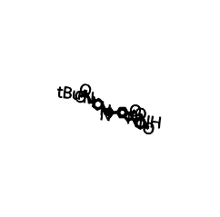 CC(C)(C)OC(=O)N1CC2(CCC(n3cc(-c4ccc5c(c4)CN(C4CCC(=O)NC4=O)C5=O)cn3)CC2)C1